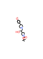 COc1ccc(C2CCN(CC(CO)C3CCN(C(=O)OC(C)(C)C)CC3)CC2)cc1